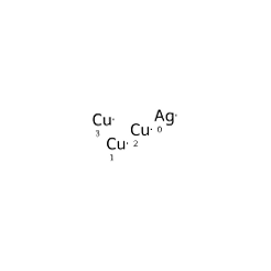 [Ag].[Cu].[Cu].[Cu]